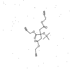 C#CCOC(=O)CC(CC(=O)OCC#C)(O[Si](C)(C)C)C(=O)OCC#C